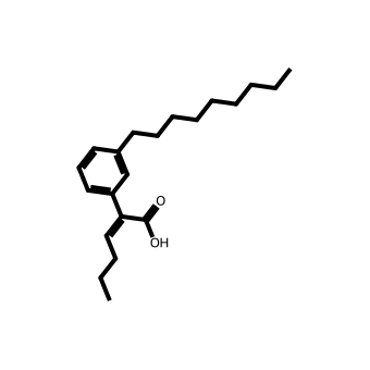 CCCC=C(C(=O)O)c1cccc(CCCCCCCCC)c1